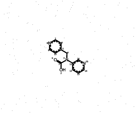 O=C(O)N(Cc1ccncc1)c1cccnc1